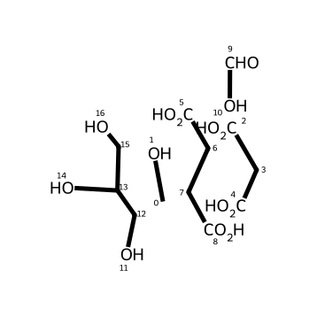 CO.O=C(O)CC(=O)O.O=C(O)CCC(=O)O.O=CO.OCC(O)CO